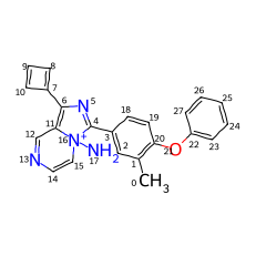 Cc1cc(C2=NC(C3=CC=C3)=C3C=NC=C[N+]23N)ccc1Oc1ccccc1